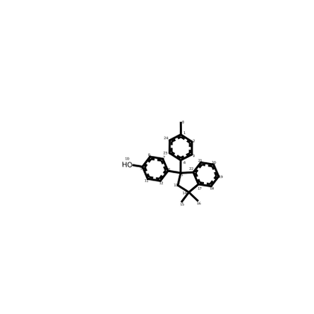 Cc1ccc(C2(c3ccc(O)cc3)CC(C)(C)c3ccccc32)cc1